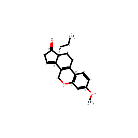 CCC[C@]12CCC3=C(COc4cc(OC)ccc43)C1=CCC2=O